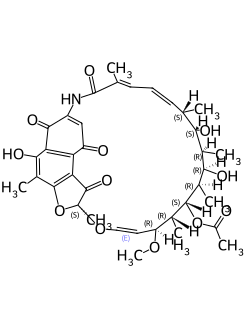 CO[C@H]1/C=C/O[C@@]2(C)Oc3c(C)c(O)c4c(c3C2=O)C(=O)C=C(NC(=O)C(C)=CC=C[C@H](C)[C@H](O)[C@@H](C)[C@@H](O)[C@@H](C)[C@H](OC(C)=O)[C@@H]1C)C4=O